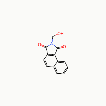 O=C1c2ccc3ccccc3c2C(=O)N1CO